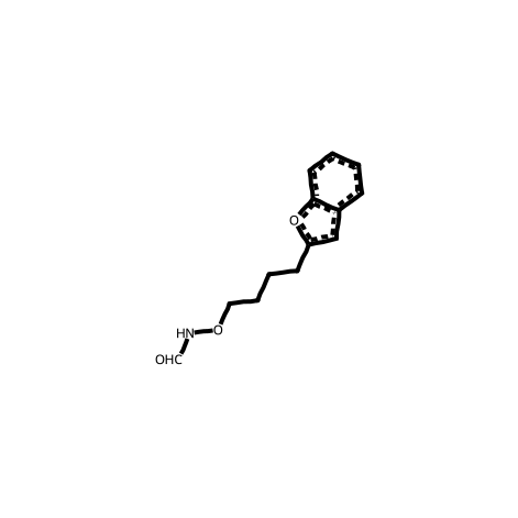 O=CNOCCCCc1cc2ccccc2o1